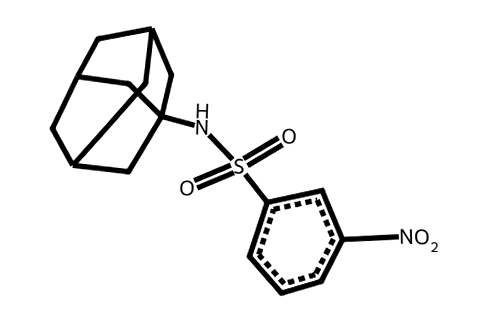 O=[N+]([O-])c1cccc(S(=O)(=O)NC23CC4CC(CC(C4)C2)C3)c1